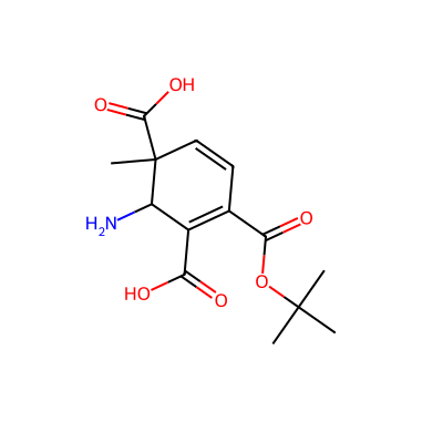 CC(C)(C)OC(=O)C1=C(C(=O)O)C(N)C(C)(C(=O)O)C=C1